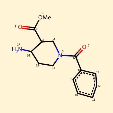 COC(=O)C1CN(C(=O)c2ccccc2)CCC1N